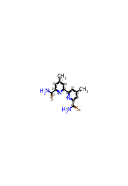 Cc1cc(C(N)=S)nc(-c2cc(C)cc(C(N)=S)n2)c1